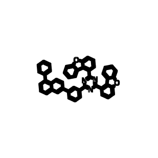 c1ccc(-c2cccc3cc(-c4cccc(-c5nc(-c6cccc7oc8ccccc8c67)nc(-c6cccc7oc8ccccc8c67)n5)c4)ccc23)cc1